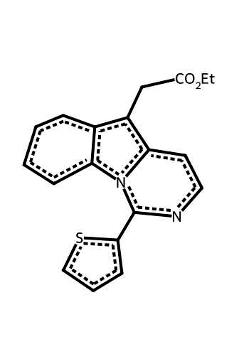 CCOC(=O)Cc1c2ccccc2n2c(-c3cccs3)nccc12